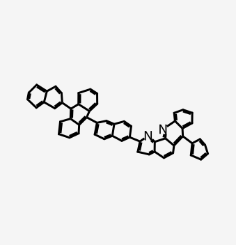 c1ccc(-c2c3ccccc3nc3c2ccc2ccc(-c4ccc5cc(-c6c7ccccc7c(-c7ccc8ccccc8c7)c7ccccc67)ccc5c4)nc23)cc1